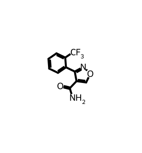 NC(=O)c1conc1-c1ccccc1C(F)(F)F